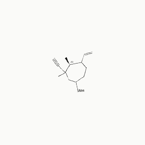 C#CC1(C)CC(SC)CCC(C=C)[C@@H]1C